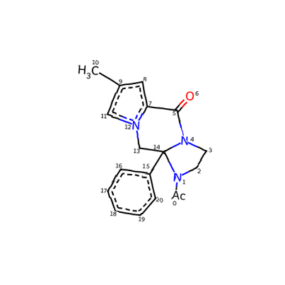 CC(=O)N1CCN2C(=O)c3cc(C)cn3CC12c1ccccc1